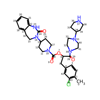 Cc1ccc(CC(OC(=O)N2CCC(N3CCc4ccccc4NC3=O)CC2)C(=O)N2CCN(C3CCNCC3)CC2)cc1Cl